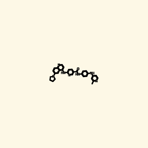 Cc1cc(Nc2ccc(NC(=O)c3ccc(Nc4ccnc5ccc(N6CCCC6)cc45)nc3)cc2)ccn1